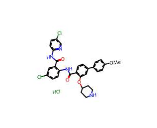 COc1ccc(-c2ccc(C(=O)Nc3ccc(Cl)cc3C(=O)Nc3ccc(Cl)cn3)c(OC3CCNCC3)c2)cc1.Cl